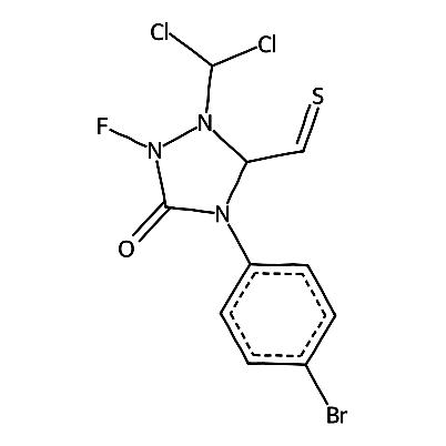 O=C1N(c2ccc(Br)cc2)C(C=S)N(C(Cl)Cl)N1F